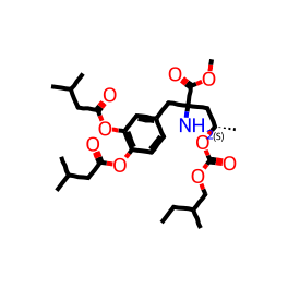 CCC(C)COC(=O)O[C@@H](C)CC(N)(Cc1ccc(OC(=O)CC(C)C)c(OC(=O)CC(C)C)c1)C(=O)OC